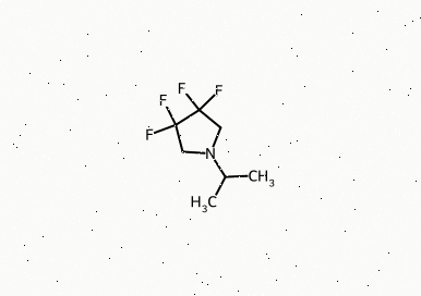 CC(C)N1CC(F)(F)C(F)(F)C1